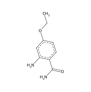 CCOc1ccc(C(N)=O)c(N)c1